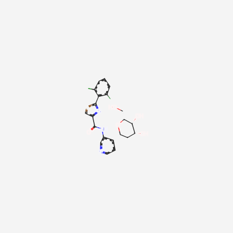 O=C(Nc1cnccc1[C@H]1C[C@@H](O)[C@H](O)[C@@H](CO)O1)c1csc(-c2c(F)cccc2F)n1